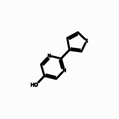 Oc1cnc(-c2ccsc2)nc1